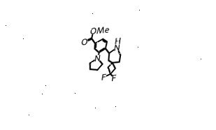 COC(=O)c1ccc(C2CC3(CCN2)CC(F)(F)C3)c(N2CCCC2)c1